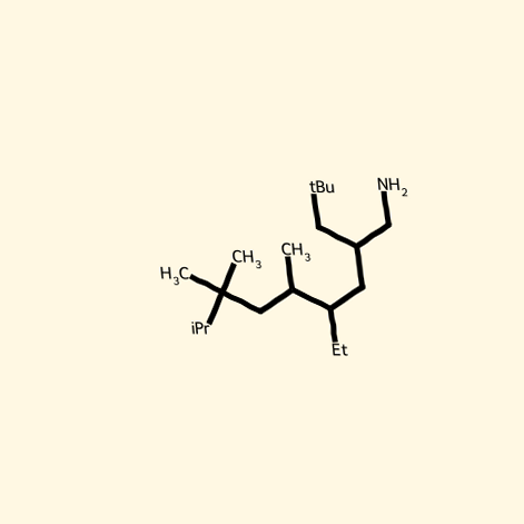 CCC(CC(CN)CC(C)(C)C)C(C)CC(C)(C)C(C)C